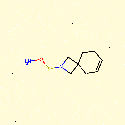 NOSN1CC2(CC=CCC2)C1